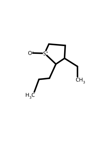 CCCC1C(CC)CC[S+]1[O-]